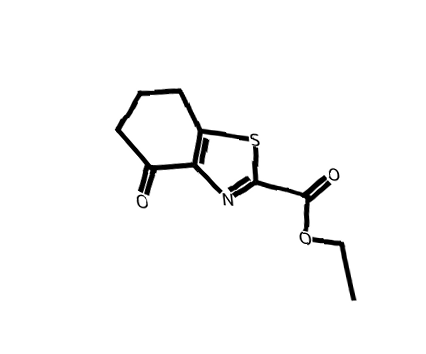 CCOC(=O)c1nc2c(s1)CCCC2=O